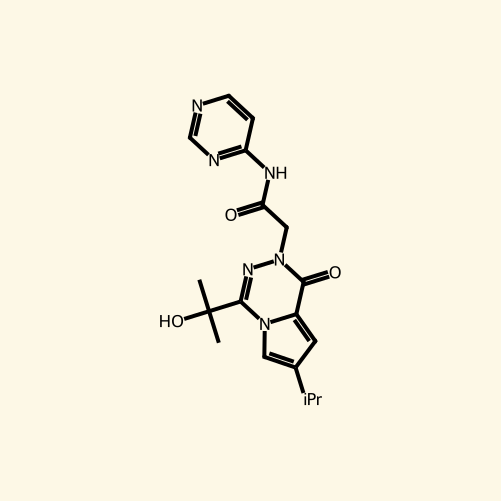 CC(C)c1cc2c(=O)n(CC(=O)Nc3ccncn3)nc(C(C)(C)O)n2c1